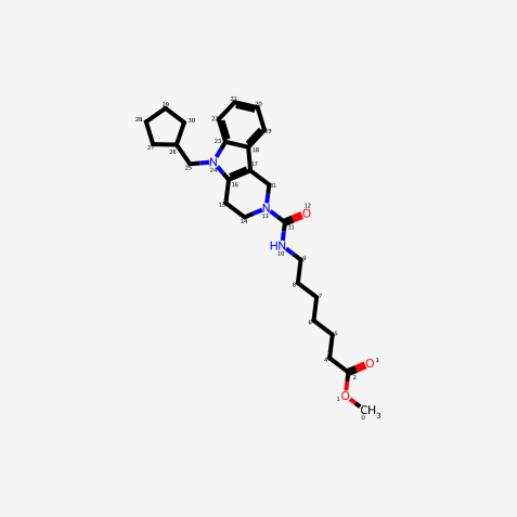 COC(=O)CCCCCCNC(=O)N1CCc2c(c3ccccc3n2CC2CCCC2)C1